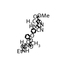 CCNC(=O)CNC(=O)C(C)(C)Oc1ccccc1Oc1ccc(Nc2c(C#N)cnn3cc(C(=O)OC)c(C)c23)cc1